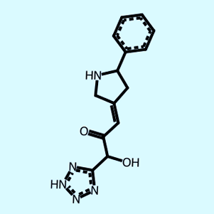 O=C(C=C1CNC(c2ccccc2)C1)C(O)c1nn[nH]n1